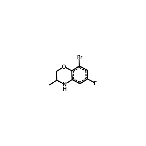 CC1COc2c(Br)cc(F)cc2N1